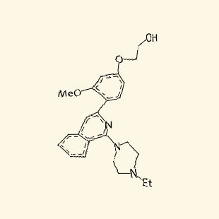 CCN1CCN(c2nc(-c3ccc(OCCO)cc3OC)cc3ccccc23)CC1